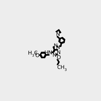 CCCCOc1nc(NCc2ccc(OC)cc2)c2cnn(Cc3cccc(CN4CCC4)c3)c2n1